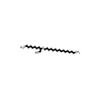 CCCCCCCCCCCCCCCCOC(CO)CCCCCCCC